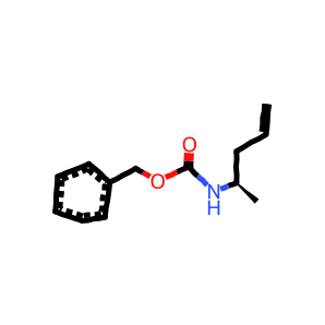 C=CC[C@@H](C)NC(=O)OCc1ccccc1